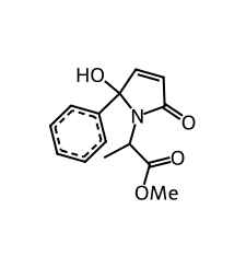 COC(=O)C(C)N1C(=O)C=CC1(O)c1ccccc1